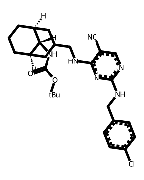 CC(C)(C)OC(=O)N[C@@H]1[C@@H]2CCC[C@H]1CC(CNc1nc(NCc3ccc(Cl)cc3)ncc1C#N)C2